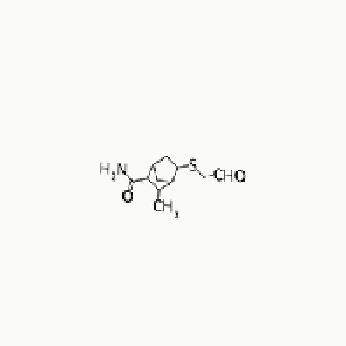 CC1C2CC(CC2SCC=O)C1C(N)=O